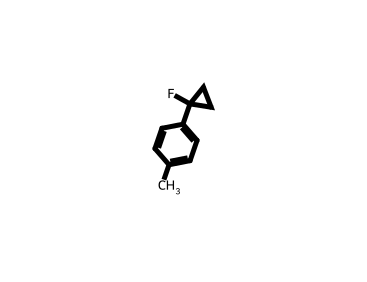 Cc1ccc(C2(F)CC2)cc1